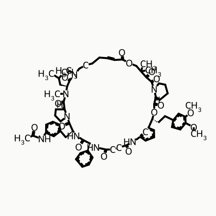 COc1ccc(CC[C@H]2OC(=O)[C@@H]3CCCCN3C(=O)C(=O)C(C)(C)COC(=O)/C=C/CCCCN(C)C(=O)[C@H](CC(C)C)N(C)C(=O)[C@H]3CCCN3C(=O)[C@H](Cc3cccc(NC(C)=O)c3)NC(=O)[C@H](c3ccccc3)NC(=O)CCC(=O)Nc3cccc2c3)cc1OC